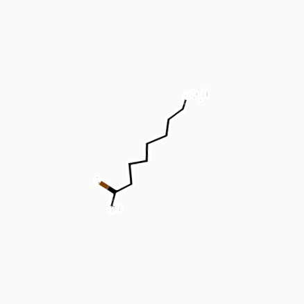 CCCC(=S)CCCCCCCC(=O)O